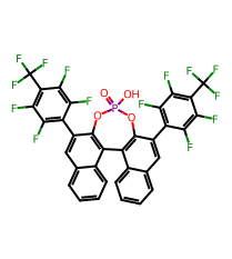 O=P1(O)Oc2c(-c3c(F)c(F)c(C(F)(F)F)c(F)c3F)cc3ccccc3c2-c2c(c(-c3c(F)c(F)c(C(F)(F)F)c(F)c3F)cc3ccccc23)O1